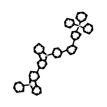 c1ccc(-n2c3ccccc3c3cc(-c4ccc5c(c4)c4ccccc4n5-c4ccc(-c5cccc(-c6ccc([Si](c7ccccc7)(c7ccccc7)c7ccccc7)cc6)c5)cc4)ccc32)cc1